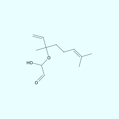 C=CC(C)(CCC=C(C)C)OC(O)C=O